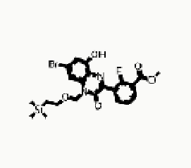 COC(=O)c1cccc(-c2nc3c(O)cc(Br)cc3n(COCC[Si](C)(C)C)c2=O)c1F